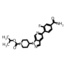 CC(C)OC(=O)N1CCC(n2ncc3cc(-c4ccc(C(N)=O)cc4F)ncc32)CC1